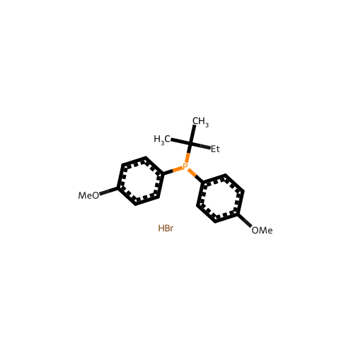 Br.CCC(C)(C)P(c1ccc(OC)cc1)c1ccc(OC)cc1